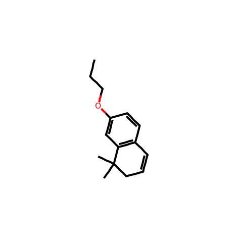 CCCOc1ccc2c(c1)C(C)(C)CC=C2